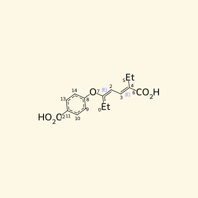 CC/C(=C\C=C(/CC)C(=O)O)Oc1ccc(C(=O)O)cc1